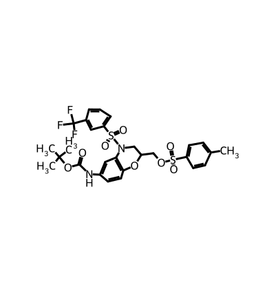 Cc1ccc(S(=O)(=O)OCC2CN(S(=O)(=O)c3cccc(C(F)(F)F)c3)c3cc(NC(=O)OC(C)(C)C)ccc3O2)cc1